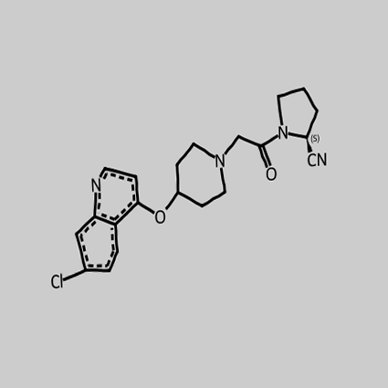 N#C[C@@H]1CCCN1C(=O)CN1CCC(Oc2ccnc3cc(Cl)ccc23)CC1